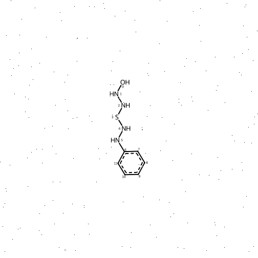 ONNSNNc1ccccc1